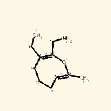 CC/C1=C(\CN)O/C(C)=C/CCC1